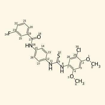 COc1cc(OC)c(NC(=S)Nc2ccc(NC(=O)c3cccc(F)c3)cc2)cc1Cl